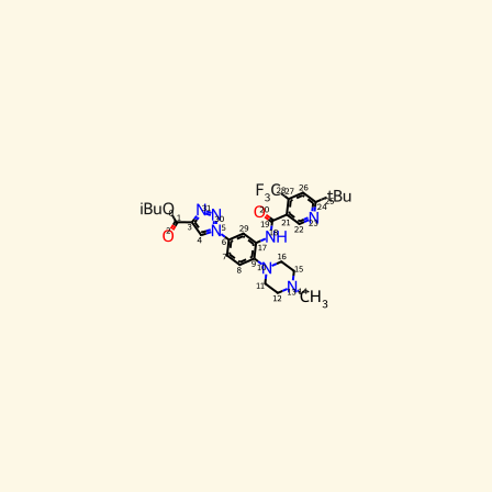 CC(C)COC(=O)c1cn(-c2ccc(N3CCN(C)CC3)c(NC(=O)c3cnc(C(C)(C)C)cc3C(F)(F)F)c2)nn1